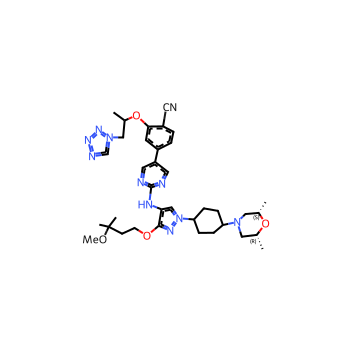 COC(C)(C)CCOc1nn(C2CCC(N3C[C@@H](C)O[C@@H](C)C3)CC2)cc1Nc1ncc(-c2ccc(C#N)c(OC(C)Cn3cnnn3)c2)cn1